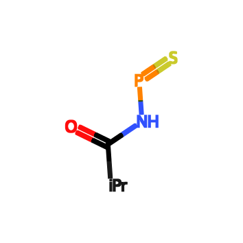 CC(C)C(=O)NP=S